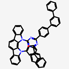 c1ccc(-c2cccc(-c3ccc(-c4nc(-c5ccccc5)nc(-n5c6ccccc6c6ccc7c8ccccc8n(-c8cccc(-c9ccccc9)c8)c7c65)n4)cc3)c2)cc1